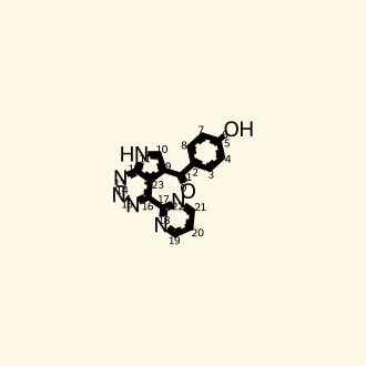 O=C(c1ccc(O)cc1)c1c[nH]c2nnnc(-c3ncccn3)c12